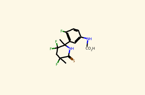 CC1(F)CC(F)(F)C(C)(c2cc(NC(=O)O)ccc2F)NC1=S